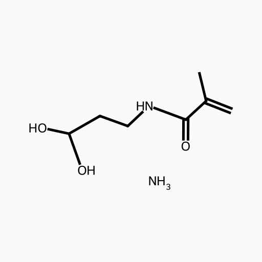 C=C(C)C(=O)NCCC(O)O.N